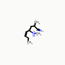 CC/C=C\C(CC(C)C#N)NC